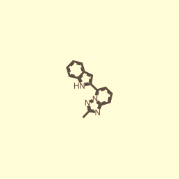 Cc1nc2cccc(-c3cc4ccccc4[nH]3)n2n1